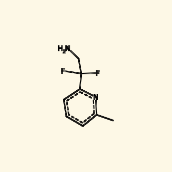 Cc1cccc(C(F)(F)CN)n1